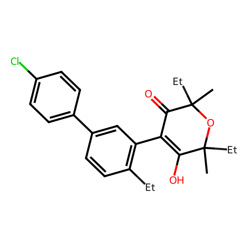 CCc1ccc(-c2ccc(Cl)cc2)cc1C1=C(O)C(C)(CC)OC(C)(CC)C1=O